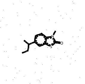 CCC(C)c1ccc2c(c1)sc(=O)n2C